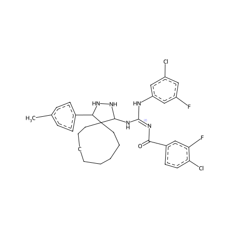 Cc1ccc(C2NNC(N/C(=N\C(=O)c3ccc(Cl)c(F)c3)Nc3cc(F)cc(Cl)c3)C23CCCCCCCC3)cc1